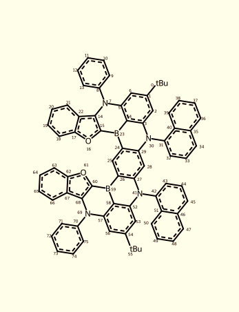 CC(C)(C)c1cc2c3c(c1)N(c1ccccc1)c1c(oc4ccccc14)B3c1cc3c(cc1N2c1cccc2ccccc12)N(c1cccc2ccccc12)c1cc(C(C)(C)C)cc2c1B3c1oc3ccccc3c1N2c1ccccc1